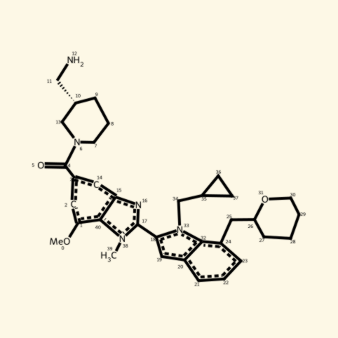 COc1cc(C(=O)N2CCC[C@@H](CN)C2)cc2nc(-c3cc4cccc(CC5CCCCO5)c4n3CC3CC3)n(C)c12